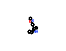 c1ccc2c(c1)ccc1[nH]c3c4ccccc4c(-c4ccc(-c5nc6ccccc6o5)cc4)cc3c12